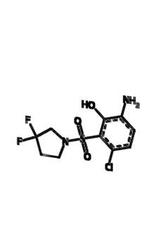 Nc1ccc(Cl)c(S(=O)(=O)N2CCC(F)(F)C2)c1O